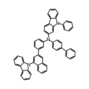 c1ccc(-c2ccc(N(c3cccc(-c4cc(-n5c6ccccc6c6ccccc65)c5ccccc5c4)c3)c3ccc4c5ccccc5n(-c5ccccc5)c4c3)cc2)cc1